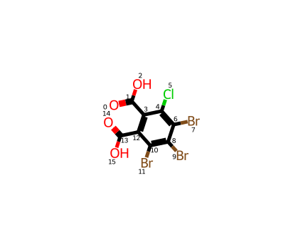 O=C(O)c1c(Cl)c(Br)c(Br)c(Br)c1C(=O)O